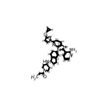 C=CC(=O)N1CCC(N[C@H]2CCc3cc(-n4c(-c5cccnc5N)nc5ccc(-n6ccc(OC7CC7)n6)nc54)ccc32)CC1